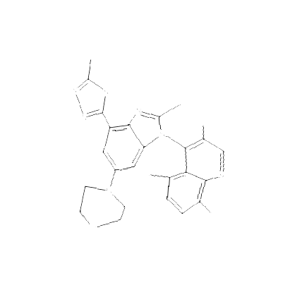 Cc1nnc(-c2cc(N3CCOCC3)cc3c2nc(C)n3-c2c(Cl)cnc3c(F)ccc(F)c23)[nH]1